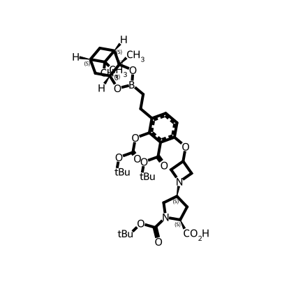 CC(C)(C)OC(=O)Oc1c(CCB2O[C@@H]3C[C@@H]4C[C@@H](C4(C)C)[C@]3(C)O2)ccc(OC2CN([C@H]3C[C@@H](C(=O)O)N(C(=O)OC(C)(C)C)C3)C2)c1C(=O)OC(C)(C)C